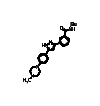 CC[C@@H](C)NC(=O)c1cccc(-c2cc(-c3ccc(N4CCN(C)CC4)cc3)[nH]n2)c1